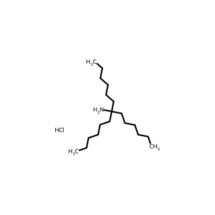 CCCCCCC(N)(CCCCCC)CCCCCC.Cl